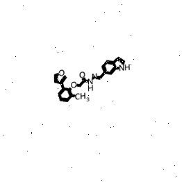 Cc1cccc(-c2ccoc2)c1OCC(=O)NN=Cc1ccc2cc[nH]c2c1